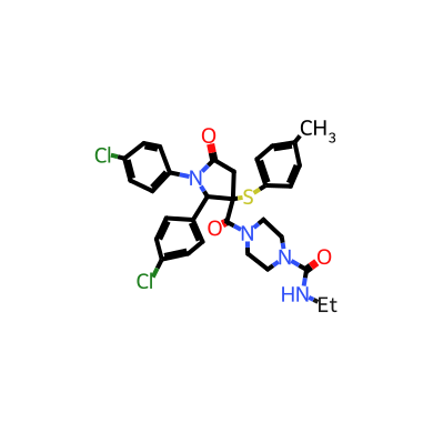 CCNC(=O)N1CCN(C(=O)C2(Sc3ccc(C)cc3)CC(=O)N(c3ccc(Cl)cc3)C2c2ccc(Cl)cc2)CC1